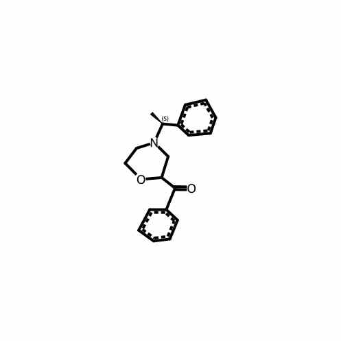 C[C@@H](c1ccccc1)N1CCOC(C(=O)c2ccccc2)C1